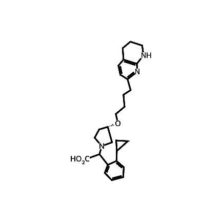 O=C(O)C(c1ccccc1C1CC1)N1CC[C@H](OCCCCc2ccc3c(n2)NCCC3)C1